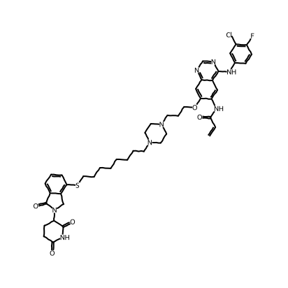 C=CC(=O)Nc1cc2c(Nc3ccc(F)c(Cl)c3)ncnc2cc1OCCCN1CCN(CCCCCCCCSc2cccc3c2CN(C2CCC(=O)NC2=O)C3=O)CC1